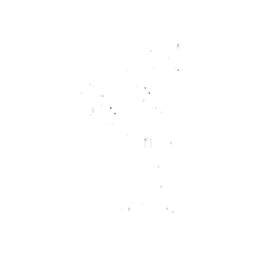 COc1cc(COc2cccc(C3=C(C(=O)N(Cc4cccc(Cl)c4Cl)C4CC4)CN(C(=O)OC(C)(C)C)CC3)n2)cc(OC)c1